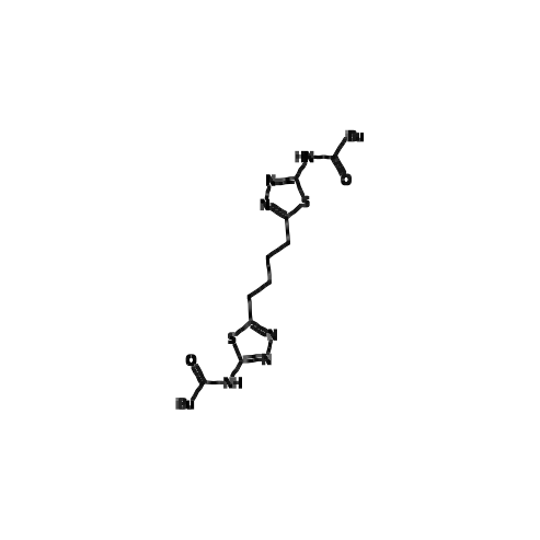 CCC(C)C(=O)Nc1nnc(CCCCc2nnc(NC(=O)C(C)CC)s2)s1